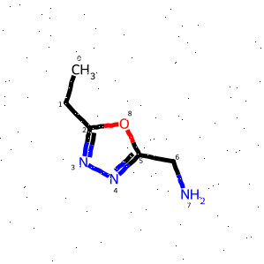 CCc1nnc(CN)o1